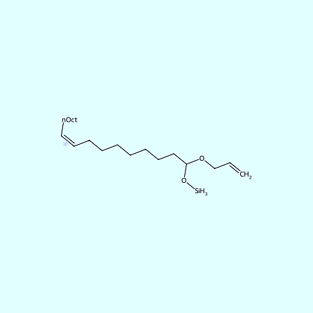 C=CCOC(CCCCCCC/C=C\CCCCCCCC)O[SiH3]